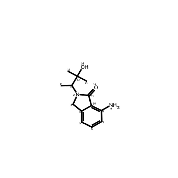 CC(N1Cc2cccc(N)c2C1=O)C(C)(C)O